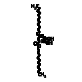 CCCCCCCCCCCCOC(=O)CCC(=O)OCCCCCCCCCCCC.O=P(O)(O)O